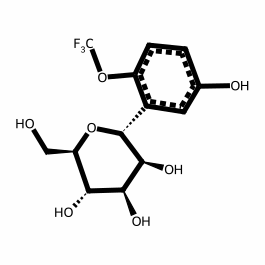 OC[C@H]1O[C@H](c2cc(O)ccc2OC(F)(F)F)[C@@H](O)[C@@H](O)[C@@H]1O